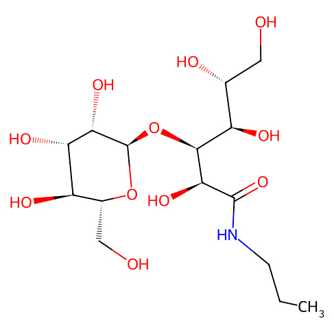 CCCNC(=O)[C@@H](O)[C@@H](O[C@H]1O[C@H](CO)[C@@H](O)[C@H](O)[C@@H]1O)[C@H](O)[C@H](O)CO